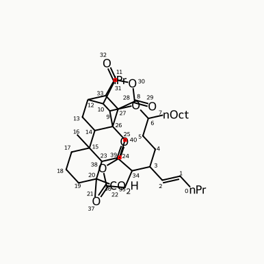 CCC/C=C/C(CCC(CCCCCCCC)OC1C(C(C)C)C2CC3C4(C)CCCC(C)(C(=O)O)C4CCC13C1C(=O)OC(=O)C21)C1CC(=O)OC1=O